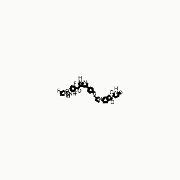 O=C1CC[C@H](N2Cc3cc(N4CC[C@@H](COc5ccc(-c6cnc7[nH]cc(C(=O)c8c(F)ccc(NS(=O)(=O)N9CC[C@@H](F)C9)c8F)c7c6)cc5)C4)ccc3C2=O)C(=O)N1